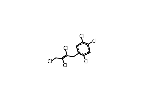 ClCC(Cl)=C(Cl)Cc1cc(Cl)c(Cl)cc1Cl